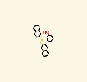 Oc1ccccc1.c1ccc2cc(SSc3ccc4ccccc4c3)ccc2c1